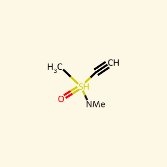 C#C[SH](C)(=O)NC